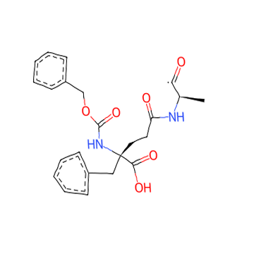 C[C@H]([C]=O)NC(=O)CC[C@@](Cc1ccccc1)(NC(=O)OCc1ccccc1)C(=O)O